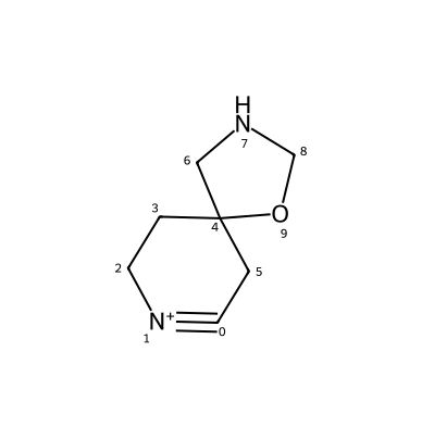 C1#[N+]CCC2(C1)CNCO2